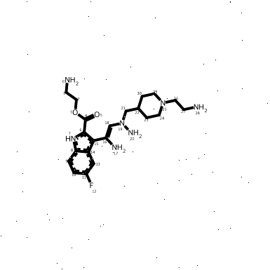 NCCOC(=O)c1[nH]c2ccc(F)cc2c1/C(N)=C/N(N)CC1CCN(CCN)CC1